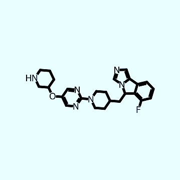 Fc1cccc2c1C(CC1CCN(c3ncc(OC4CCCNC4)cn3)CC1)n1cncc1-2